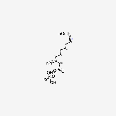 CCCCCCCC/C=C\CCCCCC(CCC)CC(=O)OOP(O)(O)=S